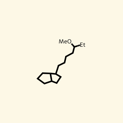 CCC(CCCCC1CCC2CCCC12)OC